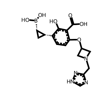 O=C(O)c1c(OC2CN(Cc3nc[nH]n3)C2)ccc([C@@H]2C[C@@H]2B(O)O)c1O